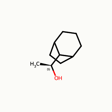 C[C@H](O)C1C2CCCC1CC2